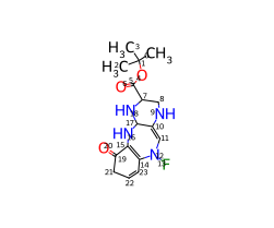 CC(C)(C)OC(=O)C1CNC2=CN(F)C3=C(NC2N1)C(=O)CC=C3